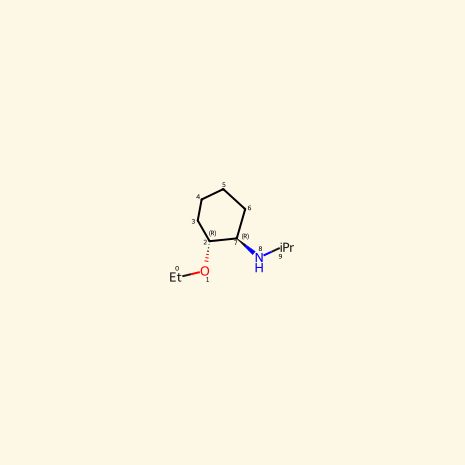 CCO[C@@H]1CCCC[C@H]1NC(C)C